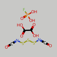 O=C(O)C(=O)O.O=C=NSSSN=C=O.O=P(O)(O)F